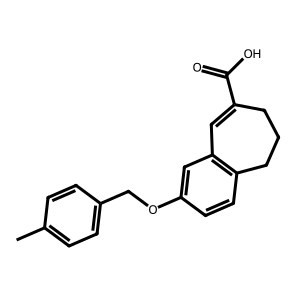 Cc1ccc(COc2ccc3c(c2)C=C(C(=O)O)CCC3)cc1